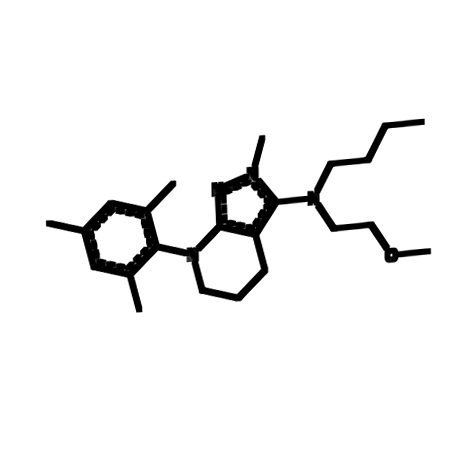 CCCCN(CCOC)c1c2c(nn1C)N(c1c(C)cc(C)cc1C)CCC2